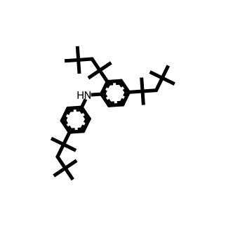 CC(C)(C)CC(C)(C)c1ccc(Nc2ccc(C(C)(C)CC(C)(C)C)cc2C(C)(C)CC(C)(C)C)cc1